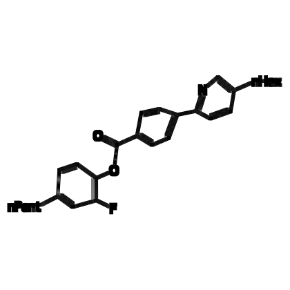 CCCCCCc1ccc(-c2ccc(C(=O)Oc3ccc(CCCCC)cc3F)cc2)nc1